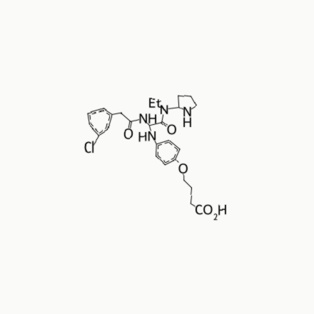 CCN(C(=O)C(NC(=O)Cc1cccc(Cl)c1)Nc1ccc(OCCCC(=O)O)cc1)C1CCCN1